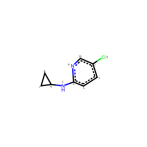 Clc1ccc(NC2CC2)nc1